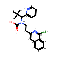 CC(C)(C)C(c1ccccn1)N(CCc1cc2ccccc2c(Cl)n1)C(=O)O